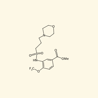 COC(=O)c1ccc(OC(F)(F)F)c(NS(=O)(=O)CCCN2CCOCC2)c1